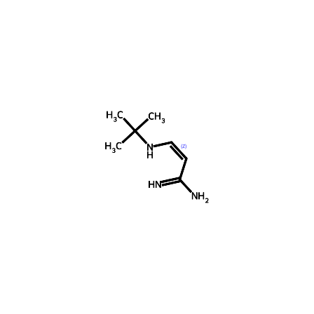 CC(C)(C)N/C=C\C(=N)N